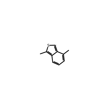 Cc1cccc2c(C)s[c]c12